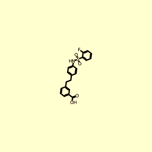 O=C(O)c1cccc(CCc2ccc(NS(=O)(=O)c3ccccc3F)cc2)c1